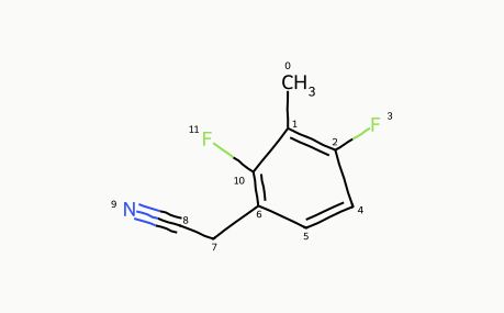 Cc1c(F)ccc(CC#N)c1F